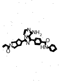 C=CC(=O)N1CC2CC(c3nc(-c4ccc(C(=O)Nc5ccccc5)cc4)c4c(N)nccn34)CC2C1